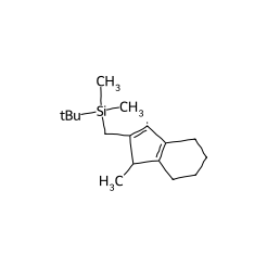 CC1C(C[Si](C)(C)C(C)(C)C)=[C]C2=C1CCCC2